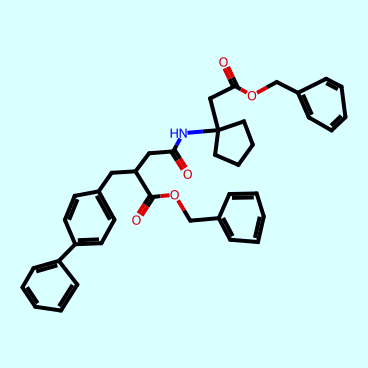 O=C(CC(Cc1ccc(-c2ccccc2)cc1)C(=O)OCc1ccccc1)NC1(CC(=O)OCc2ccccc2)CCCC1